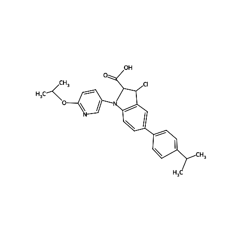 CC(C)Oc1ccc(N2c3ccc(-c4ccc(C(C)C)cc4)cc3C(Cl)C2C(=O)O)cn1